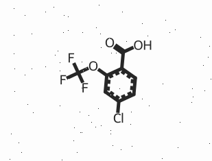 O=C(O)c1ccc(Cl)cc1OC(F)(F)F